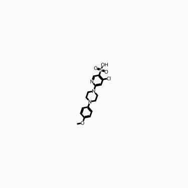 COc1ccc(N2CCN(c3cc(Cl)c(S(=O)(=O)O)cn3)CC2)cc1